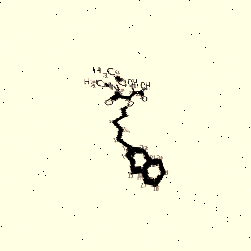 CON(C)C(=O)[C@H](OCCCCCc1ccc2ccccc2c1)[C@@H](O)C(=O)O